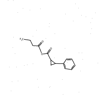 O=C(CCC(F)(F)F)OC(=O)C1CC1c1ccccc1